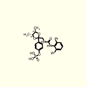 CC(C)c1cccc(C(C)C)c1NC(=O)NCC1(c2ccc(OP(=O)(O)O)cc2)O[C@H](C)[C@@H](C)O1